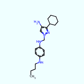 CCCCNc1ccc(NCn2cc(N)c(C3CCCCC3)n2)cc1